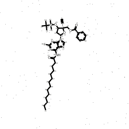 C#C[C@]1(COC(=O)c2ccccc2)O[C@@H](n2cnc3c(NC(=O)CCCCCCCCCCCCC)nc(F)nc32)CC1O[Si](C)(C)C(C)(C)C